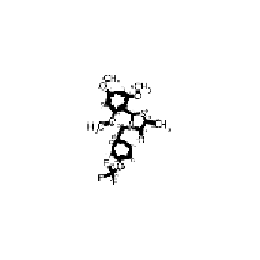 COc1cc(OC)c(C2SC(C)C(=O)N2Cc2ccc(OC(F)(F)F)cc2)c(OC)c1